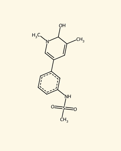 CC1=CC(c2cccc(NS(C)(=O)=O)c2)=CN(C)C1O